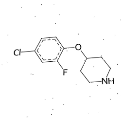 Fc1cc(Cl)ccc1OC1CCNCC1